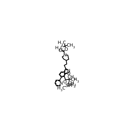 C[SiH](C)OC(c1c(-c2ccccn2)ccc2c(CCC3CCN(C(=O)OC(C)(C)C)CC3)noc12)C(C)(C)C